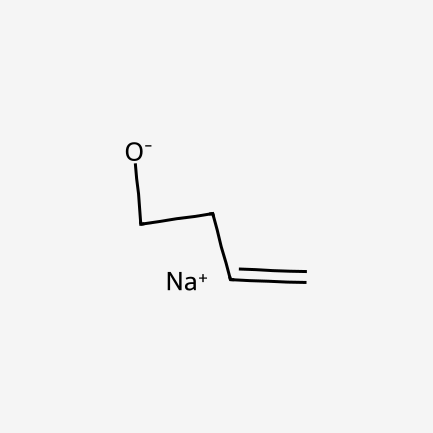 C=CCC[O-].[Na+]